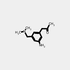 CC(=O)Cc1cc(N)cc(CN(C)C)c1